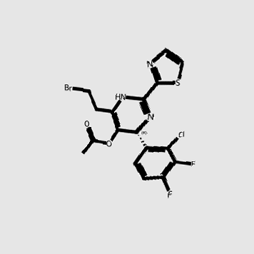 CC(=O)OC1=C(CCBr)NC(c2nccs2)=N[C@@H]1c1ccc(F)c(F)c1Cl